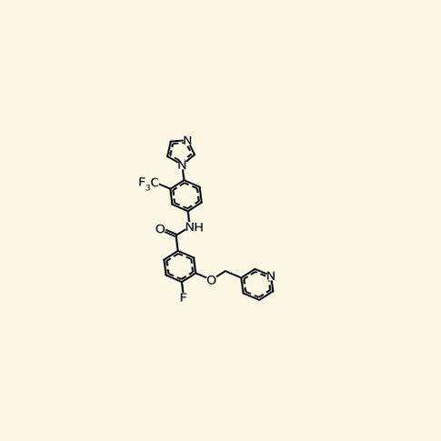 O=C(Nc1ccc(-n2ccnc2)c(C(F)(F)F)c1)c1ccc(F)c(OCc2cccnc2)c1